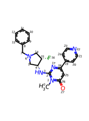 Cn1c(N[C@@H]2CN(Cc3ccccc3)C[C@@H]2F)nc(-c2ccncc2)cc1=O